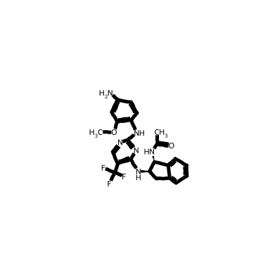 COc1cc(N)ccc1Nc1ncc(C(F)(F)F)c(N[C@@H]2Cc3ccccc3[C@H]2NC(C)=O)n1